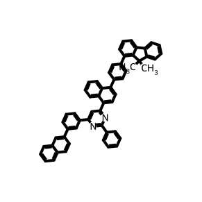 CC1(C)c2ccccc2-c2cccc(-c3ccc(-c4ccc(-c5cc(-c6cccc(-c7ccc8ccccc8c7)c6)nc(-c6ccccc6)n5)c5ccccc45)cc3)c21